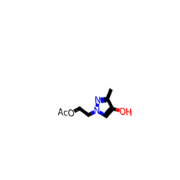 CC(=O)OCCn1cc(O)c(C)n1